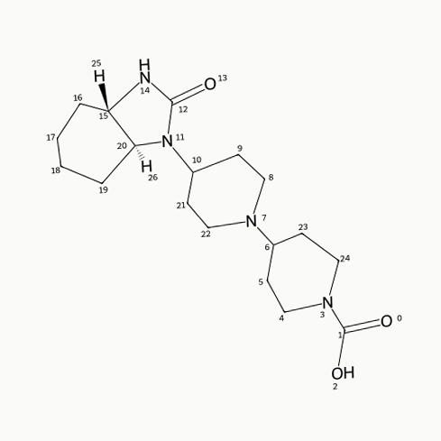 O=C(O)N1CCC(N2CCC(N3C(=O)N[C@H]4CCCC[C@@H]43)CC2)CC1